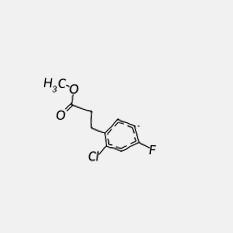 COC(=O)CCc1c[c]c(F)cc1Cl